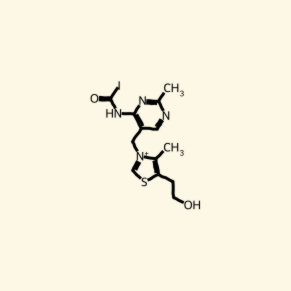 Cc1ncc(C[n+]2csc(CCO)c2C)c(NC(=O)I)n1